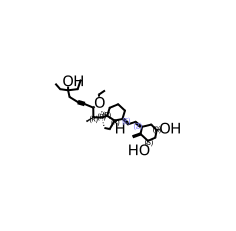 C=C1/C(=C\C=C2/CCC[C@]3(C)[C@@H]([C@@H](C)C(C#CCC(O)(CC)CC)OCC)CC[C@@H]23)C[C@@H](O)C[C@@H]1O